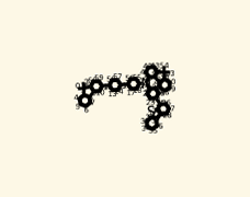 CC1(C)c2ccccc2-c2cc(-c3ccc(-c4ccc(N(c5ccc(-c6cccc7c6sc6ccccc67)cc5)c5cccc6c5-c5ccccc5C6(C)C)cc4)cc3)ccc21